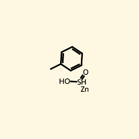 Cc1ccccc1.O=[SH]O.[Zn]